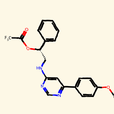 CCCOc1ccc(-c2cc(NC[C@H](OC(=O)C(F)(F)F)c3ccccc3)ncn2)cc1